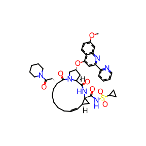 COc1ccc2c(O[C@@H]3C[C@H]4C(=O)N[C@]5(C(=O)NS(=O)(=O)C6CC6)C[C@H]5/C=C\CCCCC[C@H](CC(=O)N5CCCCC5)C(=O)N4C3)cc(-c3ccccn3)nc2c1